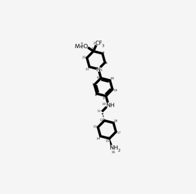 COC1(C(F)(F)F)CCN(c2ccc(NC[C@H]3CC[C@H](N)CC3)cc2)CC1